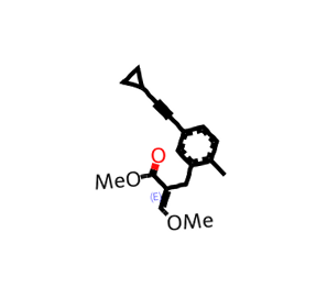 CO/C=C(\Cc1cc(C#CC2CC2)ccc1C)C(=O)OC